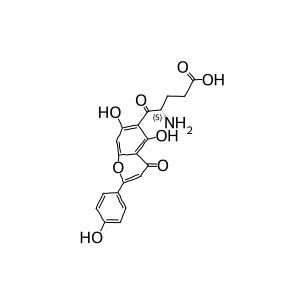 N[C@@H](CCC(=O)O)C(=O)c1c(O)cc2oc(-c3ccc(O)cc3)cc(=O)c2c1O